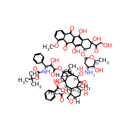 CC(=O)O[C@@]12CO[C@@H]1C[C@H](O)[C@@]1(C)C(=O)[C@H](O)C3=C(C)[C@@H](OC(=O)[C@H](O)[C@@H](NC(=O)OC(C)(C)C)c4ccccc4)C[C@@](O)([C@@H](OC(=O)c4ccccc4)[C@H]21)C3(C)C.COc1cccc2c1C(=O)c1c(O)c3c(c(O)c1C2=O)C[C@@](O)(C(=O)CO)C[C@@H]3O[C@H]1C[C@H](N)[C@H](O)[C@H](C)O1